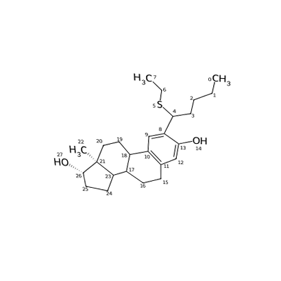 CCCCC(SCC)c1cc2c(cc1O)CCC1C2CC[C@@]2(C)C1CC[C@@H]2O